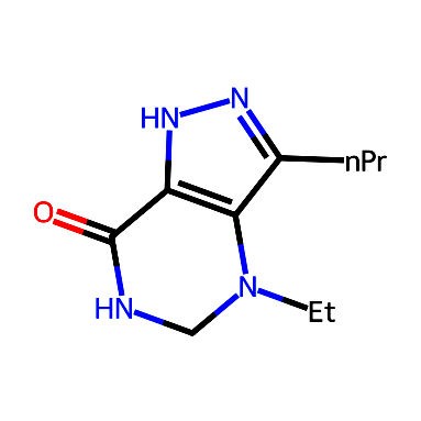 CCCc1n[nH]c2c1N(CC)CNC2=O